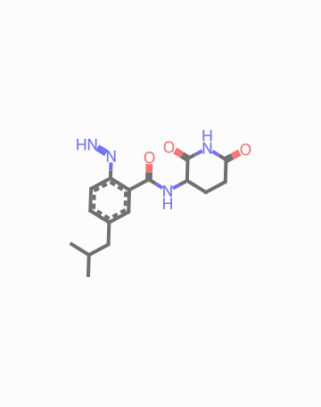 CC(C)Cc1ccc(N=N)c(C(=O)NC2CCC(=O)NC2=O)c1